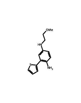 COCCNc1ccc(N)c(-c2cccs2)c1